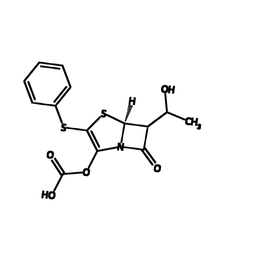 CC(O)C1C(=O)N2C(OC(=O)O)=C(Sc3ccccc3)S[C@@H]12